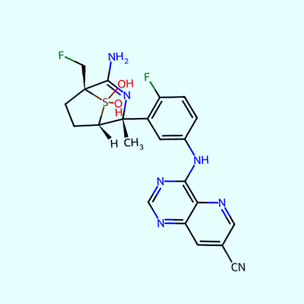 C[C@]1(c2cc(Nc3ncnc4cc(C#N)cnc34)ccc2F)N=C(N)[C@@]2(CF)CC[C@@H]1S2(O)O